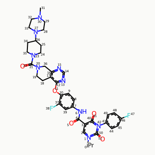 CC(C)n1cc(C(=O)Nc2ccc(Oc3ncnc4c3CCN(C(=O)N3CCC(N5CCN(C)CC5)CC3)C4)c(F)c2)c(=O)n(-c2ccc(F)cc2)c1=O